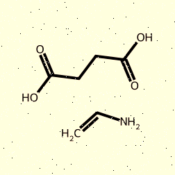 C=CN.O=C(O)CCC(=O)O